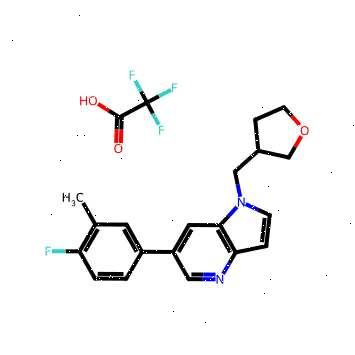 Cc1cc(-c2cnc3ccn(CC4CCOC4)c3c2)ccc1F.O=C(O)C(F)(F)F